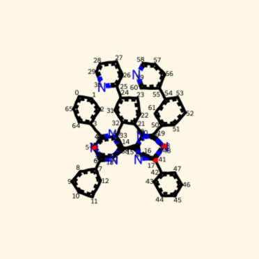 c1ccc(-c2nc(-c3ccccc3)nc(-c3ccccc3-c3ccc(-c4ccccn4)cc3-c3ccccc3-c3nc(-c4ccccc4)nc(-c4cccc(-c5cccnc5)c4)n3)n2)cc1